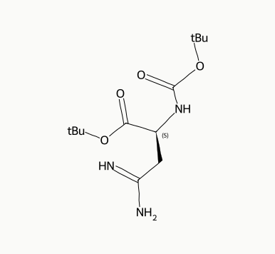 CC(C)(C)OC(=O)N[C@@H](CC(=N)N)C(=O)OC(C)(C)C